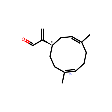 C=C(C=O)[C@H]1C/C=C(/C)CC/C=C(/C)CC1